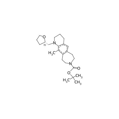 Cc1c2c(cc3c1N(C[C@@H]1CCCO1)CCC3)CCN(C(=O)OC(C)(C)C)CC2